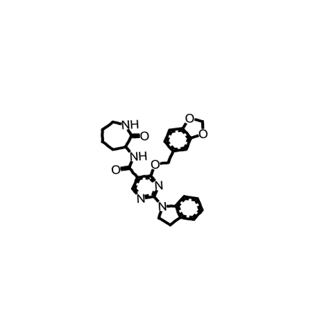 O=C(NC1CCCCNC1=O)c1cnc(N2CCc3ccccc32)nc1OCc1ccc2c(c1)OCO2